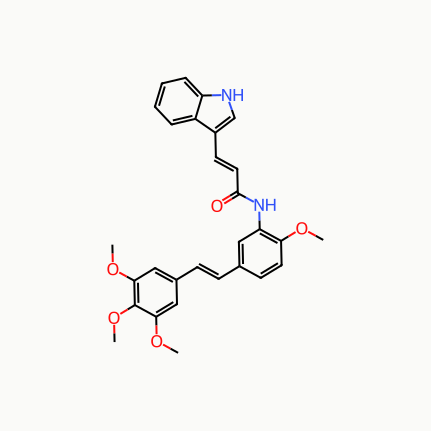 COc1ccc(C=Cc2cc(OC)c(OC)c(OC)c2)cc1NC(=O)/C=C/c1c[nH]c2ccccc12